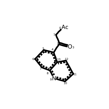 CC(=O)CC(=O)c1cccc2ncccc12